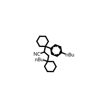 CCCCc1ccc(C2(C(C#N)CC3(CCCC)CCCCC3)CCCCC2)cc1